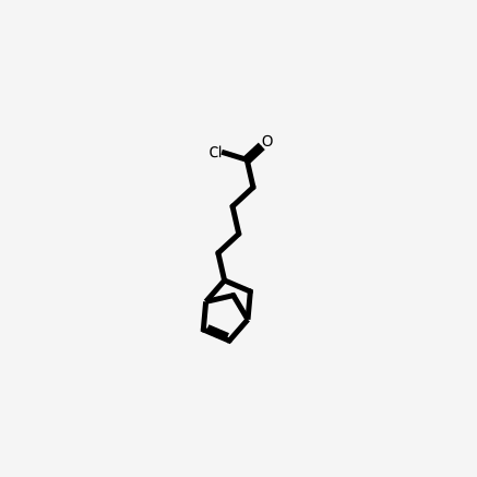 O=C(Cl)CCCCC1CC2C=CC1C2